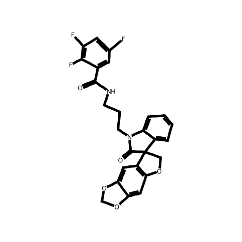 O=C(NCCCN1C(=O)C2(COc3cc4c(cc32)OCO4)c2ccccc21)c1cc(F)cc(F)c1F